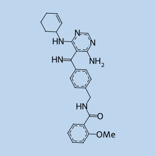 COc1ccccc1C(=O)NCc1ccc(C(=N)c2c(N)ncnc2NC2C=CCCC2)cc1